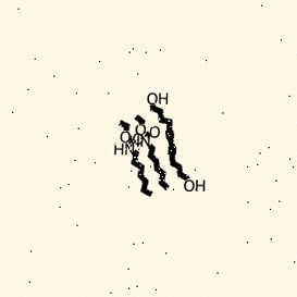 CCCCCCCNC(=O)OCC.CCCCCCCNC(=O)OCC.OCCCCC#CC#CCCCCO